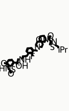 CC(C)Cc1nc(C(=O)N2CCOC3(CCN(Cc4cccc(CCNC[C@H](O)c5ccc(O)c6[nH]c(=O)sc56)c4F)CC3)C2)cs1